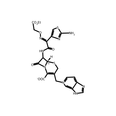 CCOC(=O)CON=C(C(=O)NC1C(=O)N2C(C(=O)[O-])=C(C[n+]3ccc4nc[nH]c4c3)CS[C@@H]12)c1csc(N)n1